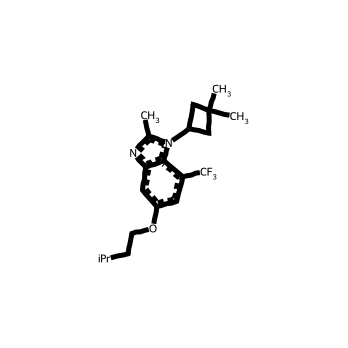 Cc1nc2cc(OCCC(C)C)cc(C(F)(F)F)c2n1C1CC(C)(C)C1